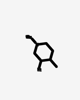 CCC1CN(C(C)(C)C)CCC1C